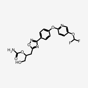 NC(=O)OC(CO)Cc1nc(-c2ccc(Oc3ccc(OC(F)F)cn3)cc2)no1